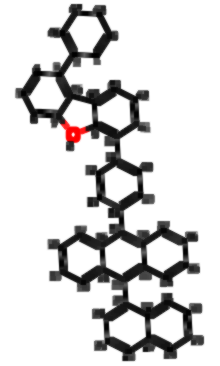 C1=CC(c2cccc3oc4c(-c5ccc(-c6c7ccccc7c(-c7cccc8ccccc78)c7ccccc67)cc5)cccc4c23)=CCC1